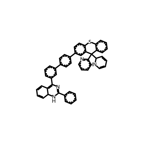 C1=CNC(C2(c3ccccn3)c3ccccc3Sc3ccc(-c4ccc(-c5cccc(C6=C7C=CC=CC7NC(c7ccccc7)=N6)c5)cc4)cc32)C=C1